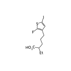 CCC(CCCc1cc(I)sc1F)C(=O)O